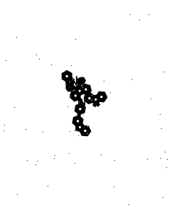 CC1(C)c2ccccc2-c2ccc(N(c3ccc(-c4ccc5c(c4)-c4ccccc4C5)cc3)c3cccc4c3-c3ccccc3C43c4ccccc4-n4c5ccccc5c5cccc3c54)cc21